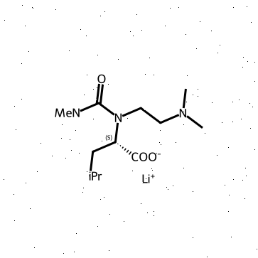 CNC(=O)N(CCN(C)C)[C@@H](CC(C)C)C(=O)[O-].[Li+]